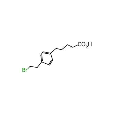 O=C(O)CCCCc1ccc(CCBr)cc1